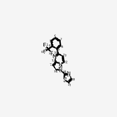 FC(F)(F)c1ccccc1C1=NC2=CCN(c3nccs3)N2C=C1